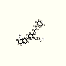 O=C(O)c1nc(-c2ccc3c(c2)NCCC3)ccc1OCCCN1CCOCC1